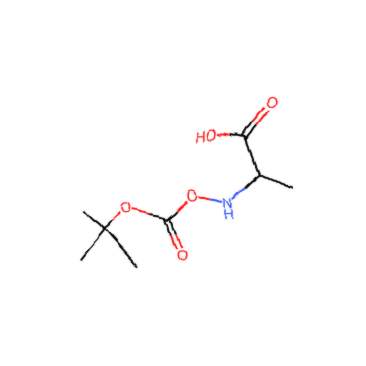 CC(NOC(=O)OC(C)(C)C)C(=O)O